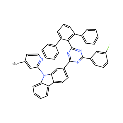 CC(C)(C)c1ccnc(-n2c3ccccc3c3ccc(-c4nc(-c5cccc(F)c5)nc(-c5c(-c6ccccc6)cccc5-c5ccccc5)n4)cc32)c1